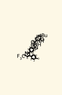 Cc1ccc(-c2cc(C(F)(F)F)nn2-c2ccc(S(=O)(=O)NC(=O)C(CC(C)C)NC(=O)OC(C)(C)C)cc2)cc1